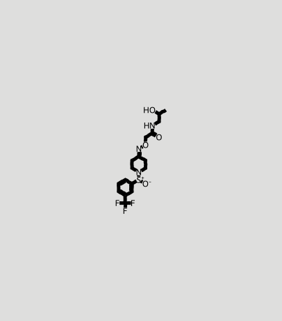 CC(O)CNC(=O)CON=C1CCN([S+]([O-])c2cccc(C(F)(F)F)c2)CC1